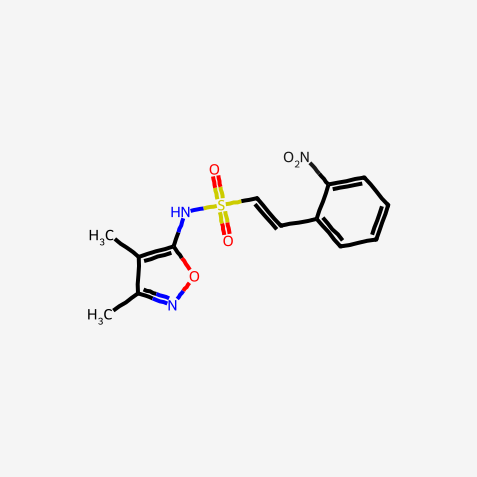 Cc1noc(NS(=O)(=O)C=Cc2ccccc2[N+](=O)[O-])c1C